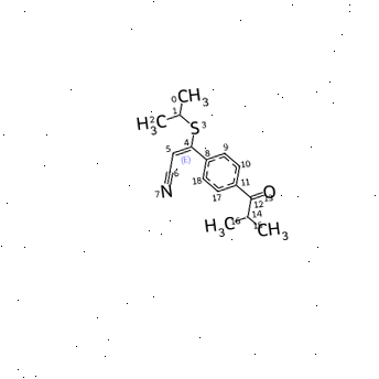 CC(C)S/C(=C/C#N)c1ccc(C(=O)C(C)C)cc1